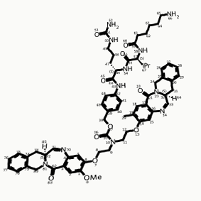 COc1cc2c(cc1OCCN(CCOc1cc3c(cc1C)C(=O)N1Cc4ccccc4C[C@H]1C=N3)C(=O)OCc1ccc(NC(=O)[C@H](CCCNC(N)=O)NC(=O)[C@@H](NC(=O)CCCCCN)C(C)C)cc1)N=C[C@@H]1Cc3ccccc3CN1C2=O